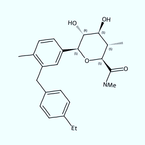 CCc1ccc(Cc2cc([C@@H]3O[C@H](C(=O)NC)[C@@H](C)[C@H](O)[C@H]3O)ccc2C)cc1